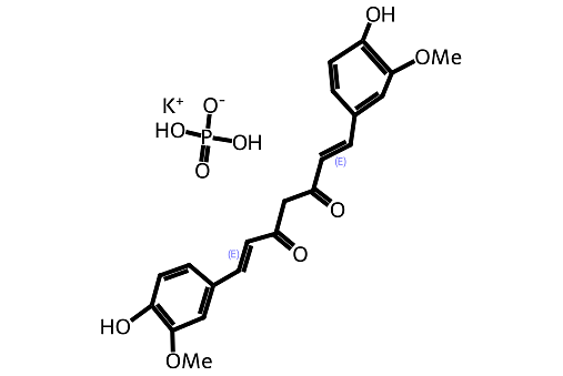 COc1cc(/C=C/C(=O)CC(=O)/C=C/c2ccc(O)c(OC)c2)ccc1O.O=P([O-])(O)O.[K+]